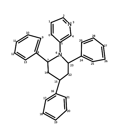 [c]1ccncc1N1C(c2ccccc2)CC(c2ccccc2)CC1c1ccccc1